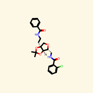 CC1(C)O[C@@H]2[C@@H](CNC(=O)c3ccccc3Cl)OC[C@]2(CCNC(=O)c2ccccc2)O1